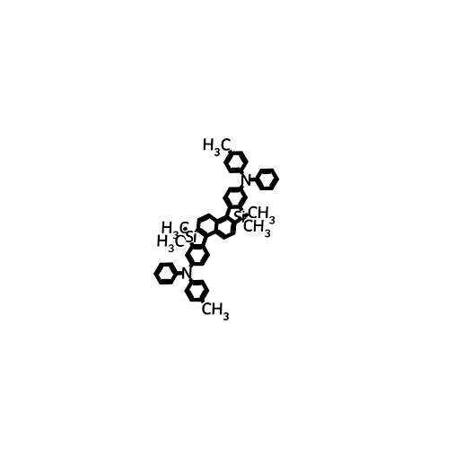 Cc1ccc(N(c2ccccc2)c2ccc3c(c2)[Si](C)(C)c2ccc4c5c(ccc4c2-3)[Si](C)(C)c2cc(N(c3ccccc3)c3ccc(C)cc3)ccc2-5)cc1